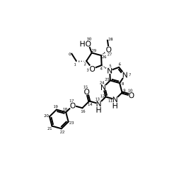 CC[C@H]1O[C@@H](n2cnc3c(=O)[nH]c(NC(=O)COc4ccccc4)nc32)[C@@H](OC)C1O